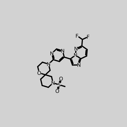 CS(=O)(=O)N1CCCC2(CN(c3cc(-c4cnc5ccc(C(F)F)nn45)ncn3)CCO2)C1